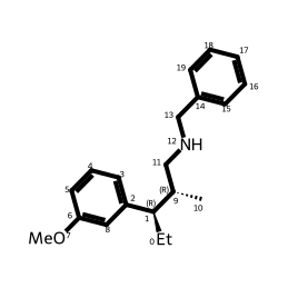 CC[C@@H](c1cccc(OC)c1)[C@@H](C)CNCc1ccccc1